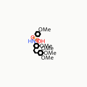 COc1ccc(S(=O)(=O)Nc2cc(/C=C\c3cc(OC)c(OC)c(OC)c3)cc(OC)c2O)cc1